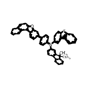 CC1(C)c2ccccc2-c2ccc(N(c3ccc(-c4ccc5c(c4)oc4ccc6ccccc6c45)cc3)c3ccc4sc5ccccc5c4c3)cc21